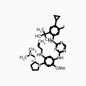 C=CCNc1cc(Nc2ncnc(Nc3cc(F)c(C4CC4)cc3C(C)(C)O)n2)c(OC)cc1N1CCC[C@@H]1CN(C)C